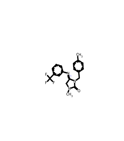 Cc1ccc(CN2C(=O)N(C)C/C2=N\c2cccc(C(F)(F)F)c2)cc1